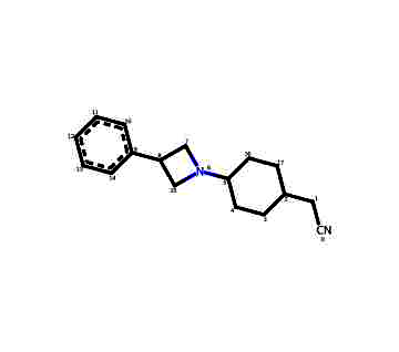 N#CCC1CCC(N2CC(c3ccccc3)C2)CC1